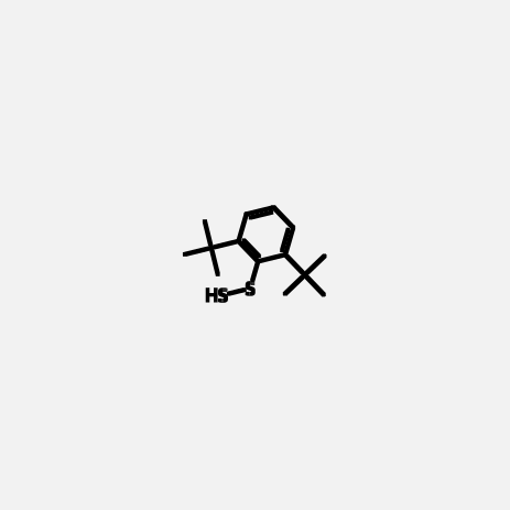 CC(C)(C)c1cccc(C(C)(C)C)c1SS